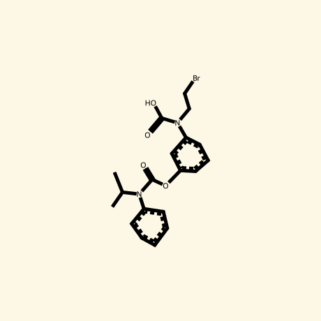 CC(C)N(C(=O)Oc1cccc(N(CCBr)C(=O)O)c1)c1ccccc1